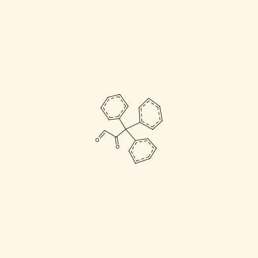 O=CC(=O)C(c1ccccc1)(c1ccccc1)c1ccccc1